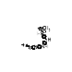 Cn1cccc1C(=O)Nc1ccc(Nc2ccc(Nc3ccc(N4CCC(OCCO)CC4)cc3)cc2)cc1